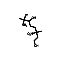 CCC(C)(C(O)CCC(C)(CCO)[N+](=O)[O-])[N+](=O)[O-]